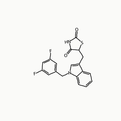 O=C1NC(=O)C(Cc2cn(Cc3cc(F)cc(F)c3)c3ccccc23)S1